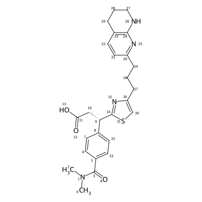 CN(C)C(=O)c1ccc([C@H](CC(=O)O)c2nc(CCCc3ccc4c(n3)NCCC4)cs2)cc1